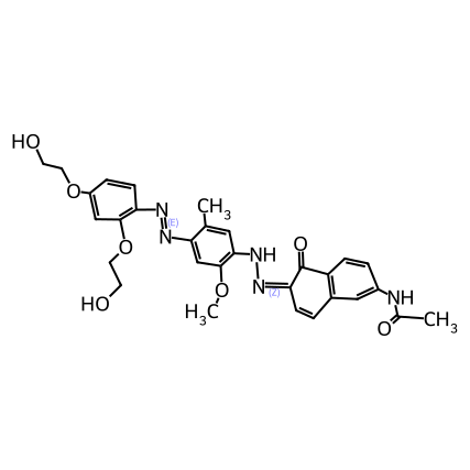 COc1cc(/N=N/c2ccc(OCCO)cc2OCCO)c(C)cc1N/N=C1/C=Cc2cc(NC(C)=O)ccc2C1=O